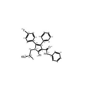 CC(C)c1c(C(=O)Nc2ccccc2)c(-c2ccccc2)c(-c2ccc(F)cc2)n1C[C@@H](C)C(C)(C)C